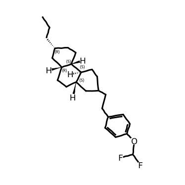 CCC[C@@H]1CC[C@H]2[C@H](CC[C@H]3CC(CCc4ccc(OC(F)F)cc4)CC[C@@H]32)C1